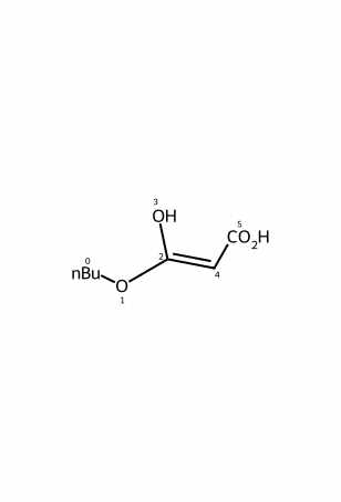 CCCCO/C(O)=C/C(=O)O